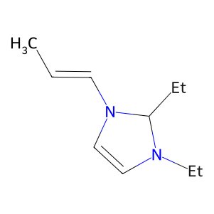 CC=CN1C=CN(CC)C1CC